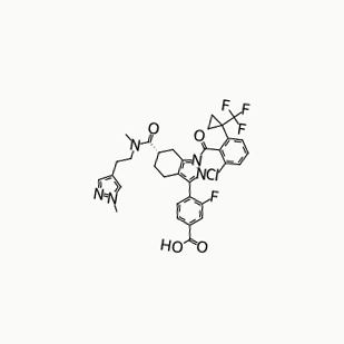 CN(CCc1cnn(C)c1)C(=O)[C@H]1CCc2c(-c3ccc(C(=O)O)cc3F)nn(C(=O)c3c(Cl)cccc3C3(C(F)(F)F)CC3)c2C1